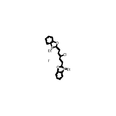 CCN1C(=CC=C(Cl)C=Cc2oc3ccccc3[n+]2CC)Oc2ccccc21.[I-]